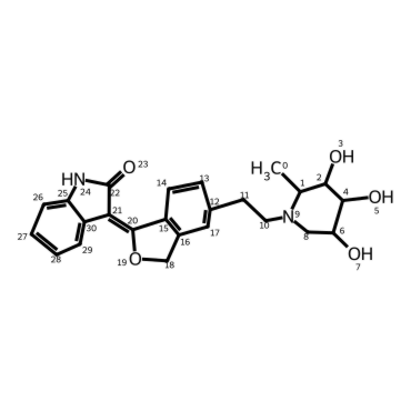 CC1C(O)C(O)C(O)CN1CCc1ccc2c(c1)COC2=C1C(=O)Nc2ccccc21